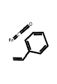 C=Cc1ccccc1.O=[C]=[Fe]